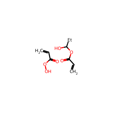 C=CC(=O)OC(O)CC.C=CC(=O)OO